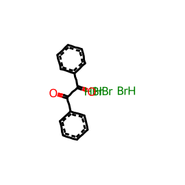 Br.Br.Br.O=C(C(=O)c1ccccc1)c1ccccc1